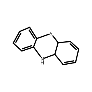 C1=CC2Nc3ccccc3SC2C=C1